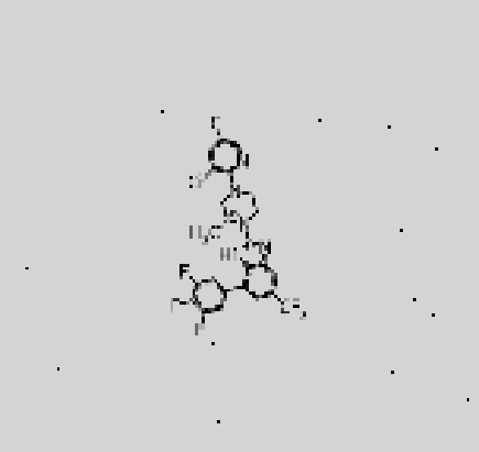 C[C@@H]1CN(c2ncc(Cl)cc2Cl)CCN1c1nc2cc(C(F)(F)F)cc(-c3cc(F)c(F)c(F)c3)c2[nH]1